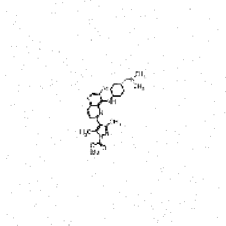 CC(=O)c1cnc2ccc(-c3c(C)nn(C(=O)OC(C)(C)C)c3C)nc2c1N[C@H]1CC[C@H](CN(C)C)CC1